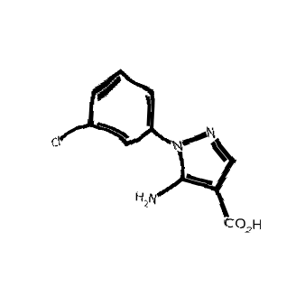 Nc1c(C(=O)O)cnn1-c1cccc(Cl)c1